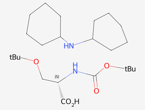 C1CCC(NC2CCCCC2)CC1.CC(C)(C)OC[C@H](NC(=O)OC(C)(C)C)C(=O)O